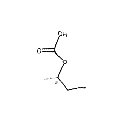 CC[C@H](C)OC(=O)O